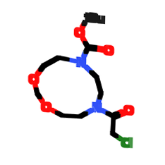 CC(C)(C)OC(=O)N1CCOCOCCN(C(=O)CCl)CC1